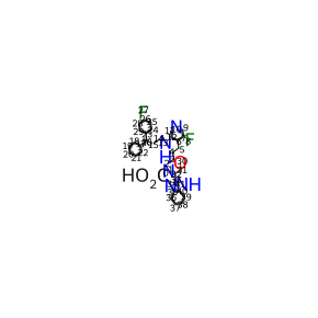 O=C(O)N1CC(CCc2c(F)cncc2NCC[C@H](c2ccccc2)c2ccc(F)cc2)OCC1c1nc2ccccc2[nH]1